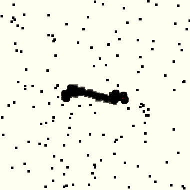 COC(=O)CSC1CC(C)(C)C(/C=C/C(C)=C/C=C/C(C)=C/C=C/C=C(C)/C=C/C=C(C)/C=C/C2=C(C)C(=O)C(SCC(=O)OC)CC2(C)C)=C(C)C1=O